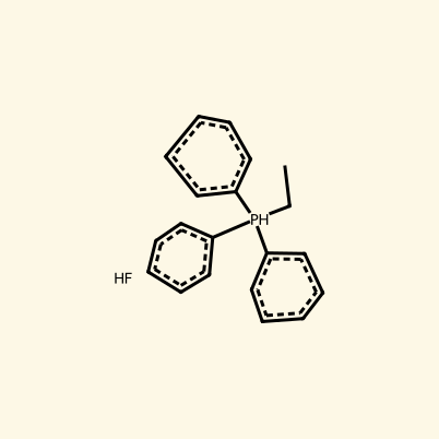 CC[PH](c1ccccc1)(c1ccccc1)c1ccccc1.F